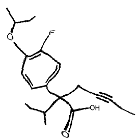 CC#CCC(C(=O)O)(c1ccc(OC(C)C)c(F)c1)C(C)C